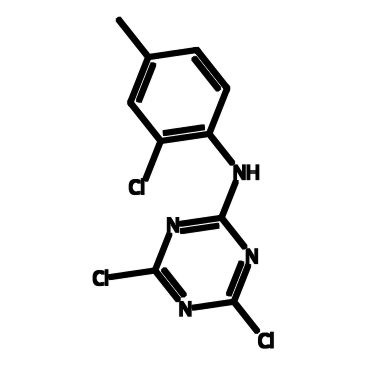 Cc1ccc(Nc2nc(Cl)nc(Cl)n2)c(Cl)c1